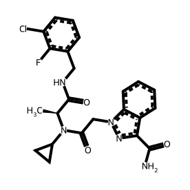 C[C@@H](C(=O)NCc1cccc(Cl)c1F)N(C(=O)Cn1nc(C(N)=O)c2ccccc21)C1CC1